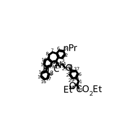 CCCc1ccc2c(c1)CCc1ccc(-c3ccccc3)cc1C2N(C)CCOc1ccc(CC(OCC)C(=O)OCC)cc1